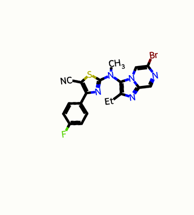 CCc1nc2cnc(Br)cn2c1N(C)c1nc(-c2ccc(F)cc2)c(C#N)s1